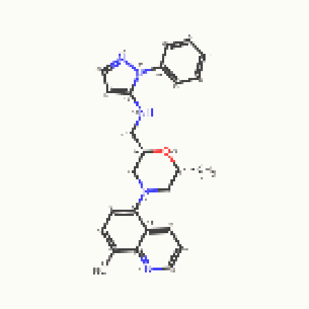 C[C@@H]1CN(c2ccc(C#N)c3ncccc23)C[C@@H](CNc2ccnn2-c2ccccc2)O1